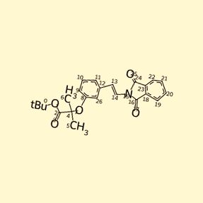 CC(C)(C)OC(=O)C(C)(C)Oc1cccc(/C=C/N2C(=O)c3ccccc3C2=O)c1